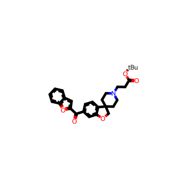 CC(C)(C)OC(=O)CCN1CCC2(CC1)COc1cc(C(=O)c3cc4ccccc4o3)ccc12